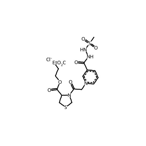 CCOC(=O)CCOC(=O)C1CSCN1C(=O)C[n+]1cccc(C(=O)NNS(C)(=O)=O)c1.[Cl-]